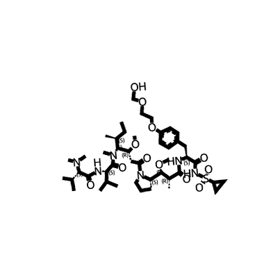 CC[C@H](C)[C@@H]([C@@H](CC(=O)N1CCC[C@H]1[C@H](OC)[C@@H](C)C(=O)N[C@@H](Cc1ccc(OCCOCO)cc1)C(=O)NS(=O)(=O)C1CC1)OC)N(C)C(=O)[C@@H](NC(=O)[C@H](C(C)C)N(C)C)C(C)C